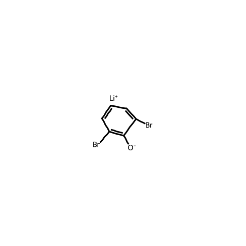 [Li+].[O-]c1c(Br)cccc1Br